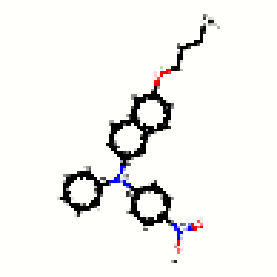 CCCCOc1ccc2cc(N(c3ccccc3)c3ccc([N+](=O)[O-])cc3)ccc2c1